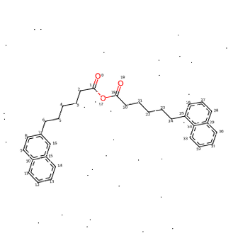 O=C(CCCCCc1ccc2ccccc2c1)OC(=O)CCCCCc1cccc2ccccc12